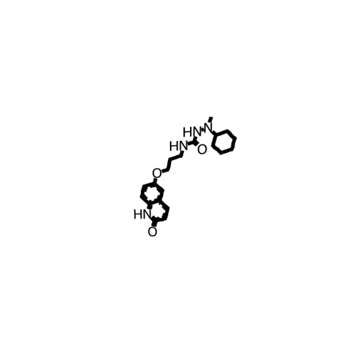 CN(NC(=O)NCCCOc1ccc2[nH]c(=O)ccc2c1)C1CCCCC1